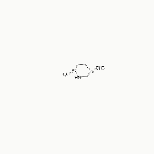 C[C@@H]1CC[C@H](C=O)CN1